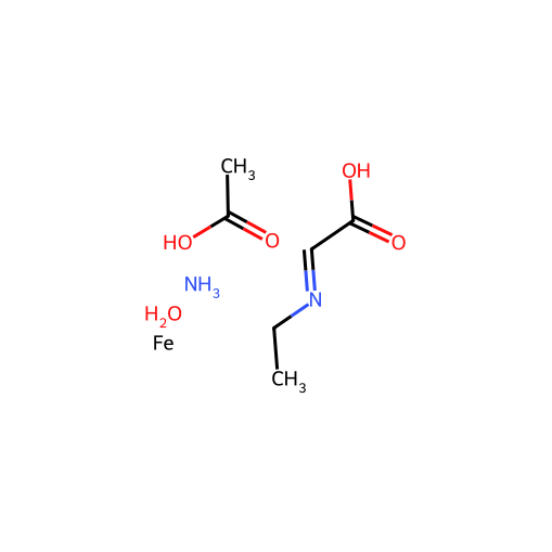 CC(=O)O.CCN=CC(=O)O.N.O.[Fe]